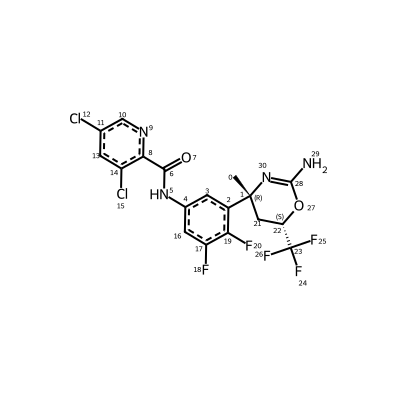 C[C@]1(c2cc(NC(=O)c3ncc(Cl)cc3Cl)cc(F)c2F)C[C@@H](C(F)(F)F)OC(N)=N1